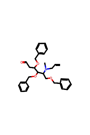 C=CCN(C)C(COCc1ccccc1)C(OCc1ccccc1)C(CC=O)OCc1ccccc1